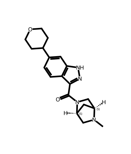 CN1C[C@@H]2C[C@H]1CN2C(=O)c1n[nH]c2cc(C3CCOCC3)ccc12